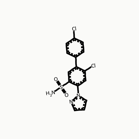 NS(=O)(=O)c1cc(-c2ccc(Cl)cc2)c(Cl)cc1-n1cccn1